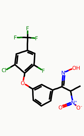 CC(C(=NO)c1cccc(Oc2c(F)cc(C(F)(F)F)cc2Cl)c1)[N+](=O)[O-]